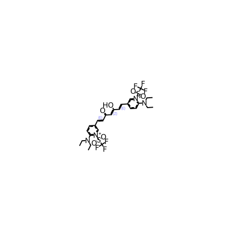 CCN(CC)c1ccc(/C=C/C(=O)/C=C(O)/C=C/c2ccc(N(CC)CC)[n+](S(=O)(=O)C(F)(F)F)c2)c[n+]1S(=O)(=O)C(F)(F)F